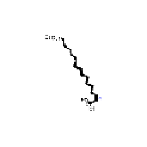 CCOC(=O)CCCCCCCCCCCC/C=C\[C@@H](O)CC